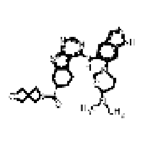 CN(C)C1CCN(c2cc3[nH]ncc3cc2Nc2ncnc3sc4c(c23)CC[C@H](C(=O)N2CC3(COC3)C2)C4)CC1